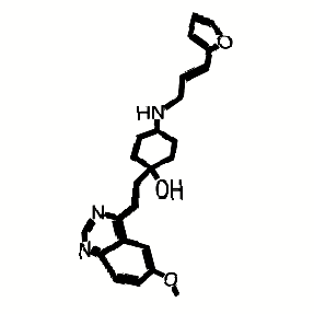 COc1ccc2ncnc(CCC3(O)CCC(NCC=Cc4ccco4)CC3)c2c1